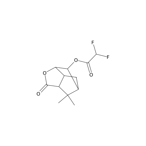 CC1(C)C2CC3C(OC(=O)C31)C2OC(=O)C(F)F